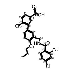 CCCOc1ccc(-c2cc(C(=O)O)ccc2Cl)cc1CNC(=O)c1ccc(Cl)cc1F